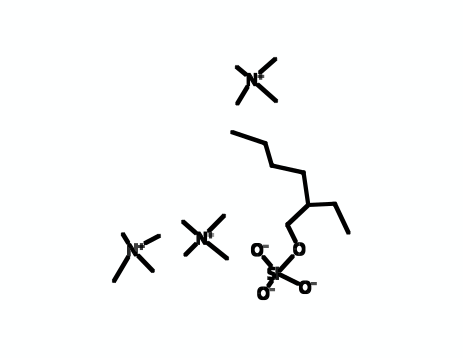 CCCCC(CC)CO[Si]([O-])([O-])[O-].C[N+](C)(C)C.C[N+](C)(C)C.C[N+](C)(C)C